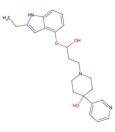 CCc1cc2c(OC(O)CCN3CCC(O)(c4cccnc4)CC3)cccc2[nH]1